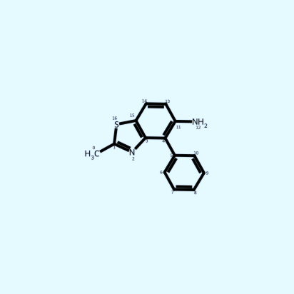 Cc1nc2c(-c3ccccc3)c(N)ccc2s1